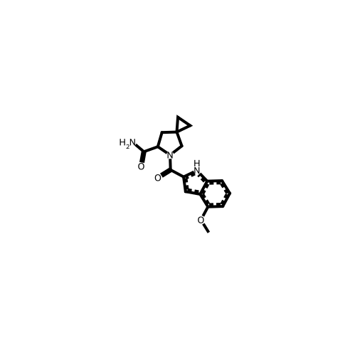 COc1cccc2[nH]c(C(=O)N3CC4(CC4)CC3C(N)=O)cc12